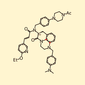 CCOc1ccc(C=CC(=O)N(Cc2ccc(N3CCN(C(C)=O)CC3)cc2)[C@@H](Cc2ccccc2)C(=O)N2CCN(Cc3ccc(N(C)C)cc3)CC2)cn1